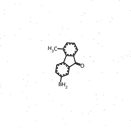 Bc1ccc2c(c1)C(=O)c1cccc(C)c1-2